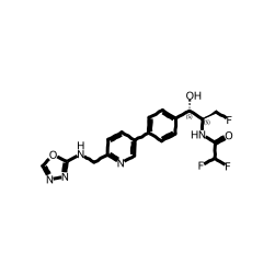 O=C(N[C@H](CF)[C@@H](O)c1ccc(-c2ccc(CNc3nnco3)nc2)cc1)C(F)F